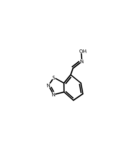 ON=Cc1cccc2nnsc12